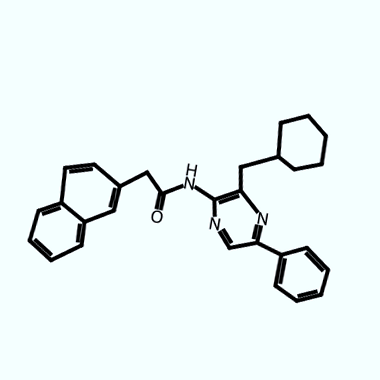 O=C(Cc1ccc2ccccc2c1)Nc1ncc(-c2ccccc2)nc1CC1CCCCC1